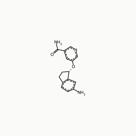 NC(=O)c1cncc(O[C@H]2CCc3ccc(N)cc32)c1